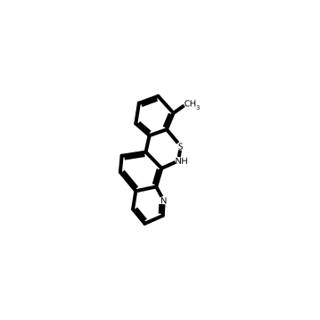 Cc1cccc2c1SNc1c-2ccc2cccnc12